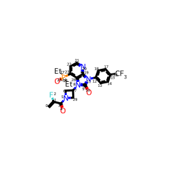 C=C(F)C(=O)N1CC(n2c(=O)n(-c3ccc(C(F)(F)F)cc3)c3nccc(P(=O)(CC)CC)c32)C1